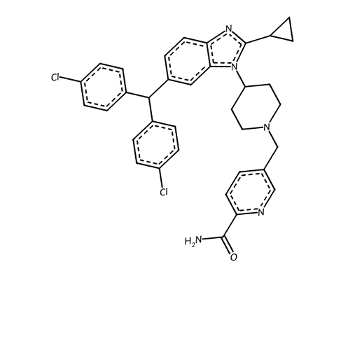 NC(=O)c1ccc(CN2CCC(n3c(C4CC4)nc4ccc(C(c5ccc(Cl)cc5)c5ccc(Cl)cc5)cc43)CC2)cn1